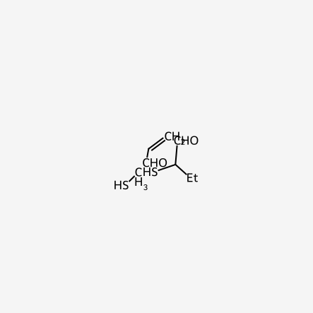 C=CC=O.CCC(S)C=O.CS